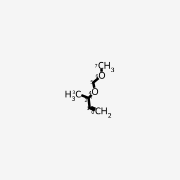 C=C[C](C)OCOC